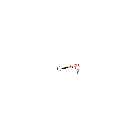 O.SS.[KH]